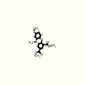 COC(=O)c1ccc(Oc2ccc(SC)cc2SC)c(C(=O)OC)c1